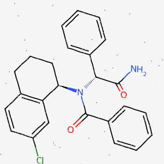 NC(=O)[C@@H](c1ccccc1)N(C(=O)c1ccccc1)[C@@H]1CCCc2ccc(Cl)cc21